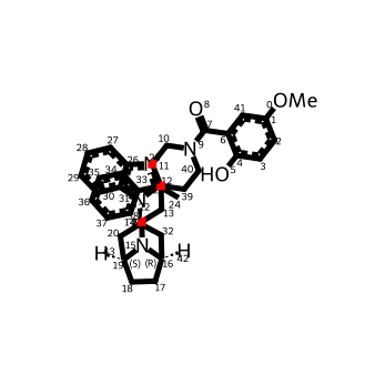 COc1ccc(O)c(C(=O)N2CCC(CCN3[C@@H]4CC[C@H]3C[C@@H](n3c(C)nc5ccccc53)C4)(c3ccccc3)CC2)c1